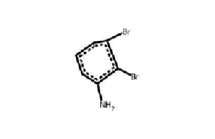 Nc1cc[c]c(Br)c1Br